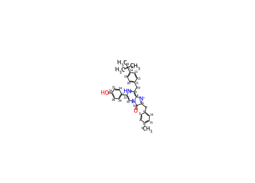 Cc1ccc(Cc2nc3c(Cc4ccc(C(C)(C)C)cc4)[nH]c(-c4ccc(O)cc4)cn-3c2=O)cc1